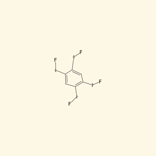 F[I]c1cc([I]F)c([I]F)cc1[I]F